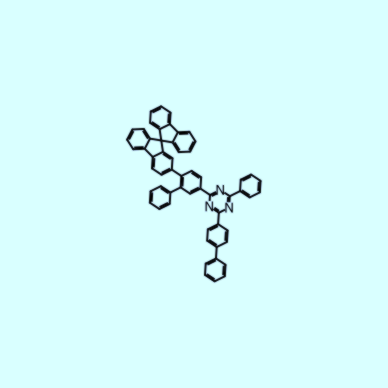 c1ccc(-c2ccc(-c3nc(-c4ccccc4)nc(-c4ccc(-c5ccc6c(c5)C5(c7ccccc7-c7ccccc75)c5ccccc5-6)c(-c5ccccc5)c4)n3)cc2)cc1